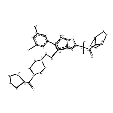 Cc1cc(C)cc(-c2[nH]c3sc(C(C)(C)C(=O)C4C5CCN4CC5)cc3c2CCN2CCN(C(=O)C3CCCO3)CC2)c1